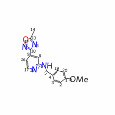 COc1ccc(CNc2cc(-c3noc(C)n3)ccn2)cc1